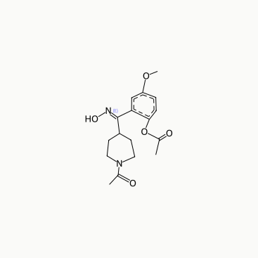 COc1ccc(OC(C)=O)c(/C(=N/O)C2CCN(C(C)=O)CC2)c1